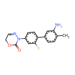 Cc1ccc(-c2ccc(N3N=CCOC3=O)cc2F)cc1N